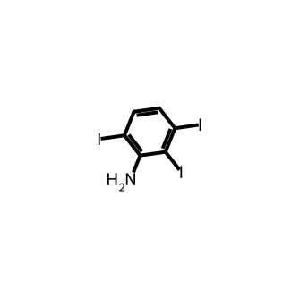 Nc1c(I)ccc(I)c1I